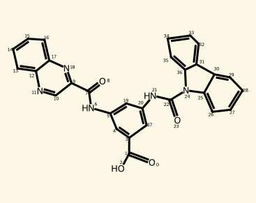 O=C(O)c1cc(NC(=O)c2cnc3ccccc3n2)cc(NC(=O)n2c3ccccc3c3ccccc32)c1